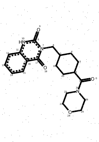 O=C(C1CCC(Cn2c(=O)[nH]c3ccccc3c2=O)CC1)N1CCOCC1